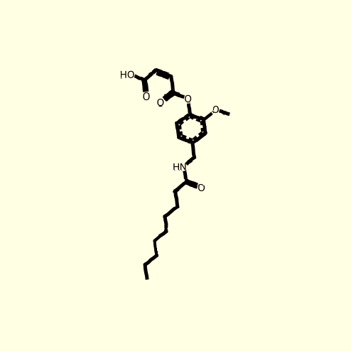 CCCCCCCCC(=O)NCc1ccc(OC(=O)/C=C\C(=O)O)c(OC)c1